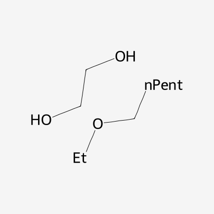 CCCCCCOCC.OCCO